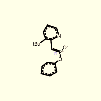 CC(C)(C)c1cccnc1/C=[P+](\[O-])Oc1ccccc1